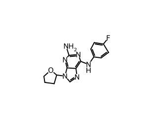 Nc1nc(Nc2ccc(F)cc2)c2ncn(C3CCCO3)c2n1